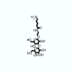 COCC1O[C@H](OCCNC(=O)CCCCN)C(O)C(O[C@H]2OC(CO)[C@@H](O)C(O)C2O)[C@@H]1O